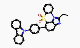 CCc1nc2ccc(-c3ccc(-n4c5ccccc5c5ccccc54)cc3)c3c2n1-c1ccccc1S3(=O)=O